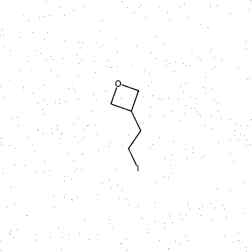 ICCC1COC1